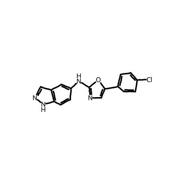 Clc1ccc(-c2cnc(Nc3ccc4[nH]ncc4c3)o2)cc1